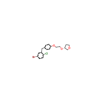 Clc1ccc(Br)cc1Cc1ccc(OCCO[C@@H]2CCOC2)cc1